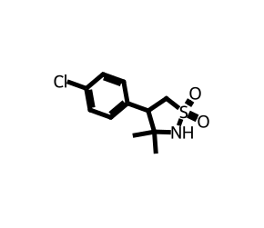 CC1(C)NS(=O)(=O)CC1c1ccc(Cl)cc1